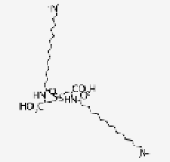 CN(C)CCCCCCCCCCCCCCC(=O)NC(CSSCC(NC(=O)CCCCCCCCCCCCCCN(C)C)C(=O)O)C(=O)O